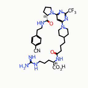 N#Cc1ccc(CCNC(=O)[C@@H]2CCCN2c2cc(N3CCC(CCCC(=O)N[C@H](CCCNC(=N)N)C(=O)O)CC3)nc(C(F)(F)F)n2)cc1